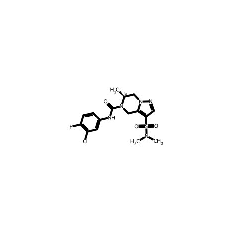 C[C@H]1Cn2ncc(S(=O)(=O)N(C)C)c2CN1C(=O)Nc1ccc(F)c(Cl)c1